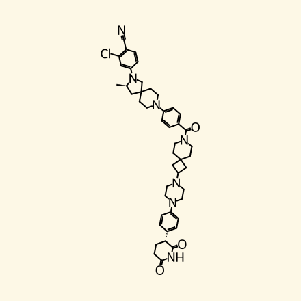 C[C@@H]1CC2(CCN(c3ccc(C(=O)N4CCC5(CC4)CC(N4CCN(c6ccc([C@H]7CCC(=O)NC7=O)cc6)CC4)C5)cc3)CC2)CN1c1ccc(C#N)c(Cl)c1